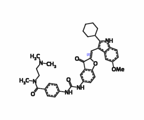 COc1ccc2[nH]c(C3CCCCC3)c(/C=C3\Oc4ccc(NC(=O)Nc5ccc(C(=O)N(C)CCN(C)C)cc5)cc4C3=O)c2c1